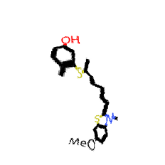 C=C(/C=C/C=C/C=C1\Sc2cc(OC)ccc2N1C)Sc1cc(O)ccc1C